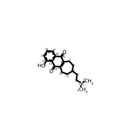 CN(C)CCC1CCC2=C(CC1)C(=O)c1c(O)cccc1C2=O